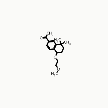 COCCOC1CCC(C)(C)c2cc(C(C)=O)ccc21